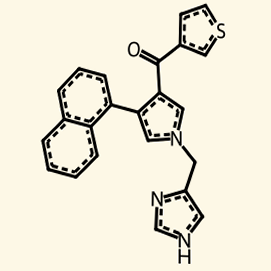 O=C(c1ccsc1)c1cn(Cc2c[nH]cn2)cc1-c1cccc2ccccc12